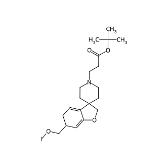 CC(C)(C)OC(=O)CCN1CCC2(CC1)COC1=CC(COI)CC=C12